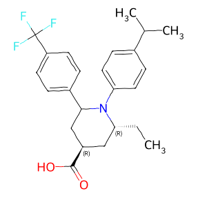 CC[C@@H]1C[C@@H](C(=O)O)CC(c2ccc(C(F)(F)F)cc2)N1c1ccc(C(C)C)cc1